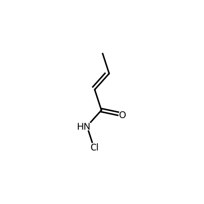 CC=CC(=O)NCl